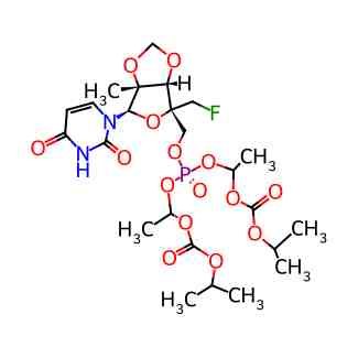 CC(C)OC(=O)OC(C)OP(=O)(OC[C@@]1(CF)O[C@@H](n2ccc(=O)[nH]c2=O)[C@]2(C)OCO[C@H]12)OC(C)OC(=O)OC(C)C